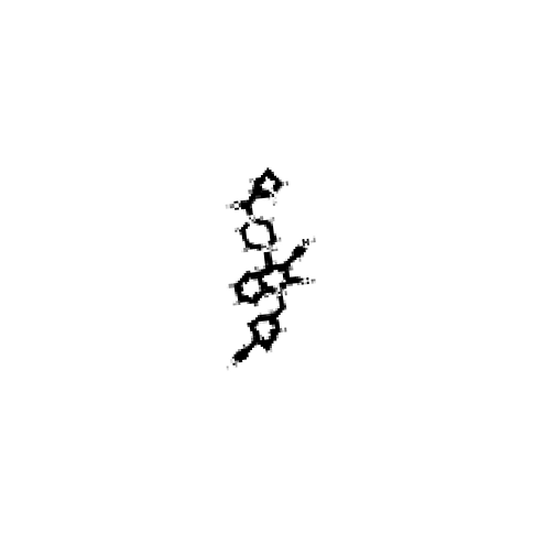 N#Cc1ccc(Cn2c(=O)c(C#N)c(N3CCN(C(=O)c4cccs4)CC3)c3ccccc32)cc1